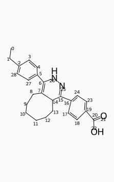 CCc1ccc(C2=C3CCCCCCC3C(c3ccc(C(=O)O)cc3)=NN2)cc1